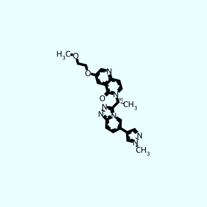 COCCOc1cnc2ccn([C@H](C)c3nnc4ccc(-c5cnn(C)c5)cn34)c(=O)c2c1